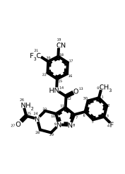 Cc1cc(F)cc(-c2nn3c(c2C(=O)Nc2ccc(C#N)c(C(F)(F)F)c2)CN(C(N)=O)CC3)c1